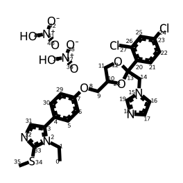 CCn1c(-c2ccc(OCC3COC(Cn4ccnc4)(c4ccc(Cl)cc4Cl)O3)cc2)cnc1SC.O=[N+]([O-])O.O=[N+]([O-])O